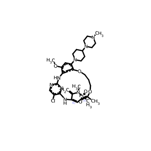 C=C(/C1=C\C(F)=C(/C)OCCCOc2cc(c(OC)cc2N2CCC(N3CCN(C)CC3)CC2)Nc2ncc(Cl)c(n2)N1)N(C)S(C)(=O)=O